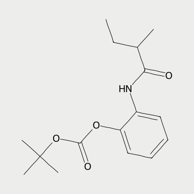 CCC(C)C(=O)Nc1ccccc1OC(=O)OC(C)(C)C